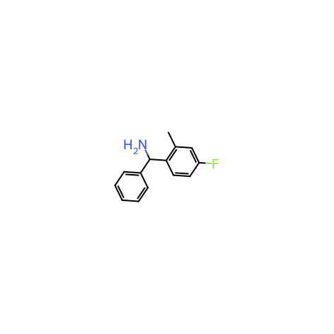 Cc1cc(F)ccc1C(N)c1ccccc1